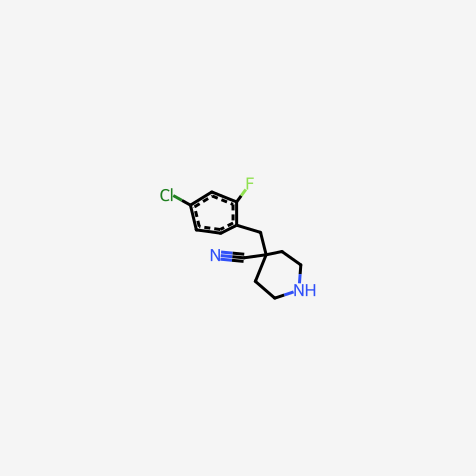 N#CC1(Cc2ccc(Cl)cc2F)CCNCC1